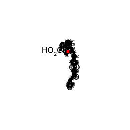 O=C(O)N[C@H]1CCC[C@@H]1[C@](CN1CCC1)(c1cccc(F)c1)C1CCN(CC2CN(c3ccc(S(=O)(=O)C4CN(C(=O)/C=C/CN5CCOCC5)C4)cc3)C2)CC1